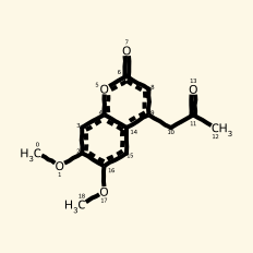 COc1cc2oc(=O)cc(CC(C)=O)c2cc1OC